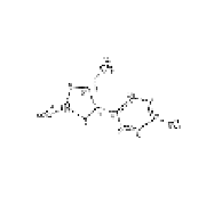 CC(C)(C)N1CC(c2ccc(Cl)cc2)[C@@H](C#N)C1